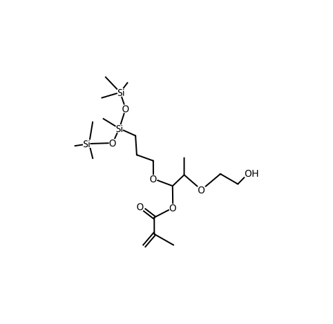 C=C(C)C(=O)OC(OCCC[Si](C)(O[Si](C)(C)C)O[Si](C)(C)C)C(C)OCCO